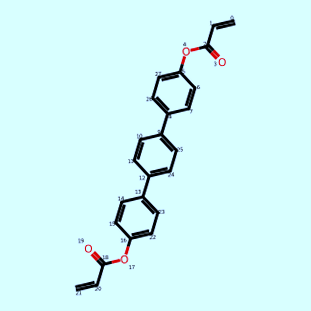 C=CC(=O)Oc1ccc(-c2ccc(-c3ccc(OC(=O)C=C)cc3)cc2)cc1